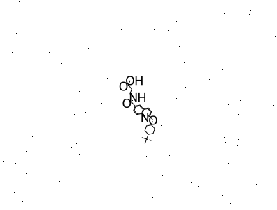 CC(C)(C)[C@H]1CC[C@H](Oc2ccc3cc(C(=O)NCCC(=O)O)ccc3n2)CC1